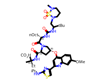 CCCCCCCC[C@H](NC(=O)NC(CN1CCCN(C)S1(=O)=O)C(C)(C)C)C(=O)N1C[C@H](Oc2cc(-c3csc(NC(C)C)n3)nc3cc(OC)ccc23)C[C@H]1C(=O)N[C@@](C)(CC)C(=O)O